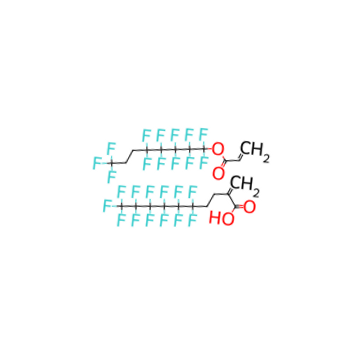 C=C(CCC(F)(F)C(F)(F)C(F)(F)C(F)(F)C(F)(F)C(F)(F)F)C(=O)O.C=CC(=O)OC(F)(F)C(F)(F)C(F)(F)C(F)(F)C(F)(F)CCC(F)(F)F